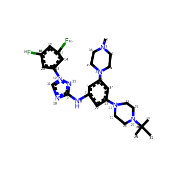 CN1CCN(c2cc(Nc3ncn(-c4cc(F)cc(F)c4)n3)cc(N3CCN(C(C)(C)C)CC3)c2)CC1